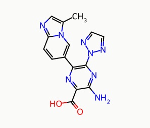 Cc1cnc2ccc(-c3nc(C(=O)O)c(N)nc3-n3nccn3)cn12